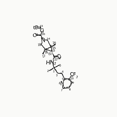 CC(C)(CCc1ncccc1C(F)(F)F)NC(=O)[C@H]1[C@]2(C)CN(C(=O)OC(C)(C)C)C[C@]12C